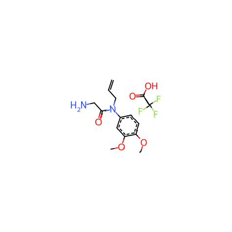 C=CCN(C(=O)CN)c1ccc(OC)c(OC)c1.O=C(O)C(F)(F)F